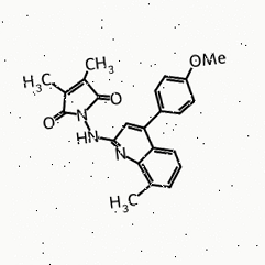 COc1ccc(-c2cc(NN3C(=O)C(C)=C(C)C3=O)nc3c(C)cccc23)cc1